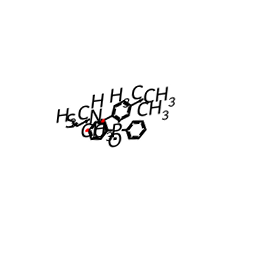 CC(C)(C=S)NC(=O)c1ccc(C(C)(C)C)cc1P(=O)(c1ccccc1)c1ccccc1